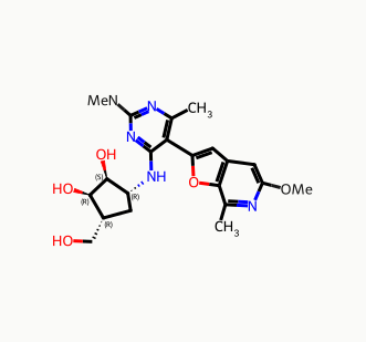 CNc1nc(C)c(-c2cc3cc(OC)nc(C)c3o2)c(N[C@@H]2C[C@H](CO)[C@@H](O)[C@H]2O)n1